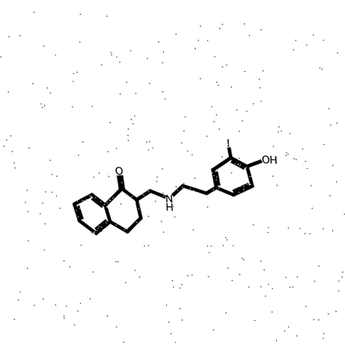 O=C1c2ccccc2CCC1CNCCc1ccc(O)c(I)c1